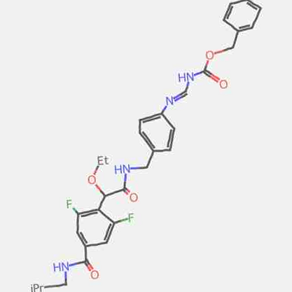 CCOC(C(=O)NCc1ccc(/N=C/NC(=O)OCc2ccccc2)cc1)c1c(F)cc(C(=O)NCC(C)C)cc1F